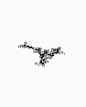 CCCC(=O)NCCCCCCOP(=O)(O)OCC1OC(n2cc(C)c(=O)[nH]c2=O)CC1OP(=O)(O)OCC1OC(n2cc(C)c(=O)[nH]c2=O)CC1O